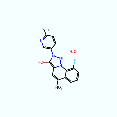 Cc1ccc(N2NN3C(=C2O)C=C([N+](=O)[O-])c2cccc(F)c23)cn1.O